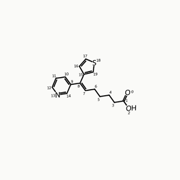 O=C(O)CCCCC=C(c1cccnc1)c1ccsc1